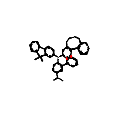 CC(C)c1ccc(N(c2ccc3c(c2)CCCCc2ccccc2-3)c2ccc3c(c2)C(C)(C)c2ccccc2-3)c(-c2ccccc2)c1